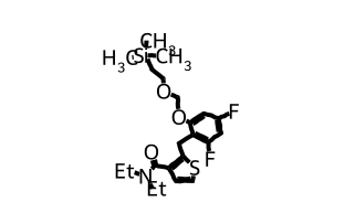 CCN(CC)C(=O)c1ccsc1Cc1c(F)cc(F)cc1OCOCC[Si](C)(C)C